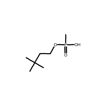 CC(C)(C)CCOP(C)(=O)O